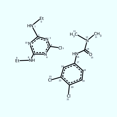 CCNc1nc(Cl)nc(NCC)n1.CN(C)C(=O)Nc1ccc(Cl)c(Cl)c1